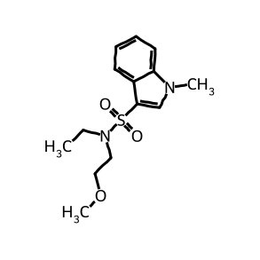 CCN(CCOC)S(=O)(=O)c1cn(C)c2ccccc12